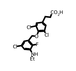 CCNc1cc(Cl)cc(COc2c(Cl)cc(CCC(=O)O)cc2Cl)c1F